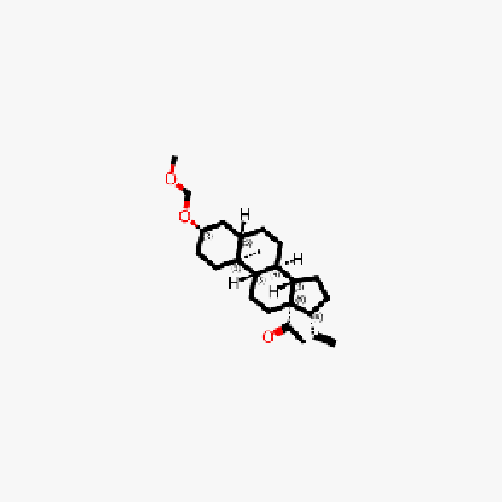 C=C[C@H]1CC[C@H]2[C@@H]3CC[C@H]4C[C@H](OCOC)CC[C@]4(C)[C@H]3CC[C@]12C(C)=O